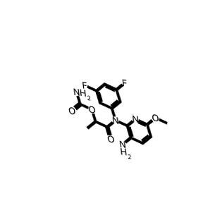 COc1ccc(N)c(N(C(=O)C(C)OC(N)=O)c2cc(F)cc(F)c2)n1